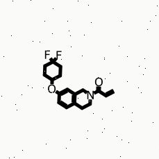 C=CC(=O)N1CCc2ccc(OC3CCC(F)(F)CC3)cc2C1